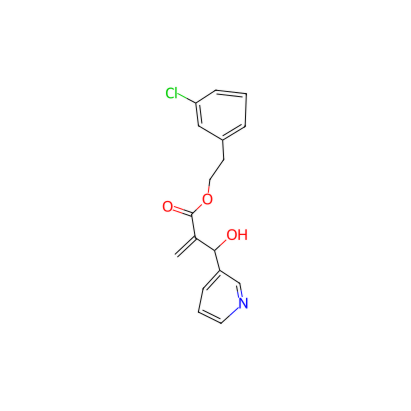 C=C(C(=O)OCCc1cccc(Cl)c1)C(O)c1cccnc1